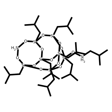 CC(C)C[SiH2]O[Si]1(CC(C)C)O[Si]2(CC(C)C)O[Si]3(CC(C)C)O[SiH2]O[Si]4(CC(C)C)O[Si](CC(C)C)(O1)O[Si](CC(C)C)(O2)O[Si](CC(C)C)(O3)O4